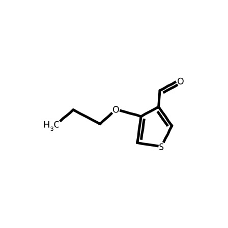 CCCOc1cscc1C=O